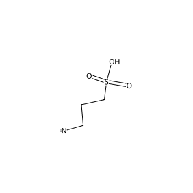 [N]CCCS(=O)(=O)O